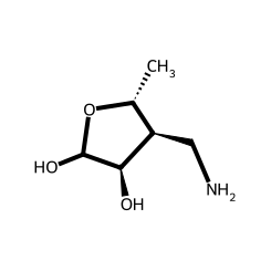 C[C@H]1OC(O)[C@H](O)[C@@H]1CN